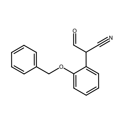 N#CC(C=O)c1ccccc1OCc1ccccc1